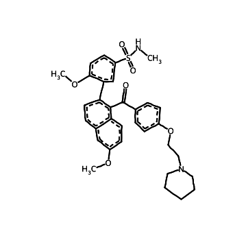 CNS(=O)(=O)c1ccc(OC)c(-c2ccc3cc(OC)ccc3c2C(=O)c2ccc(OCCN3CCCCC3)cc2)c1